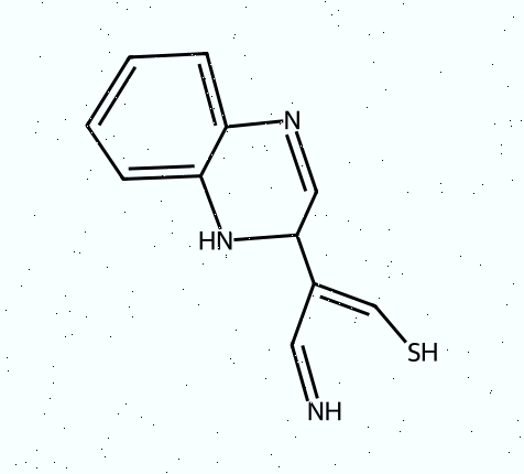 N=C/C(=C\S)C1C=Nc2ccccc2N1